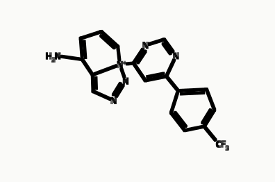 NC1=CC=C[N+]2(c3cc(-c4ccc(C(F)(F)F)cc4)ncn3)N=NC=C12